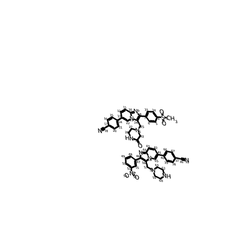 CS(=O)(=O)c1ccc(-c2nc3ccc(-c4ccc(C#N)cc4)cn3c2CN2CCNC(=O)C2)cc1.N#Cc1ccc(-c2ccc3nc(-c4cccc([N+](=O)[O-])c4)c(CN4CCNCC4)n3c2)cc1